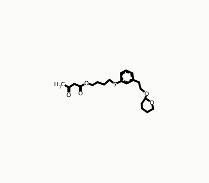 CC(=O)CC(=O)OCCCCSc1cccc(CCOC2CCCCO2)c1